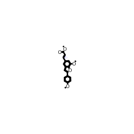 COC(=O)/C=C/c1cc(OC)c2oc(-c3ccc(OC)cc3)cc2c1